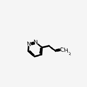 C=CCc1cccnn1